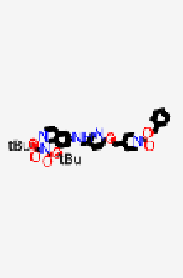 CC(C)(C)OC(=O)N(C(=O)OC(C)(C)C)c1nccc2cc(NCc3ccc(OCC4CCN(C(=O)OCc5ccccc5)CC4)nc3)ccc12